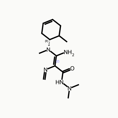 C=N/C(C(=O)NN(C)C)=C(/N)N(C)[C@@H]1CC=CCC1C